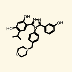 CC(C)c1cc(-c2nnc(-c3cccc(O)c3)n2-c2ccc(CN3CCOCC3)cc2)c(O)cc1O